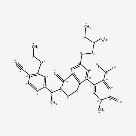 CCOc1cc([C@H](C)N2CCc3c(cc(CCN(C)CC)cc3-c3cn(C)c(=O)cc3C(F)F)C2=O)ncc1C#N